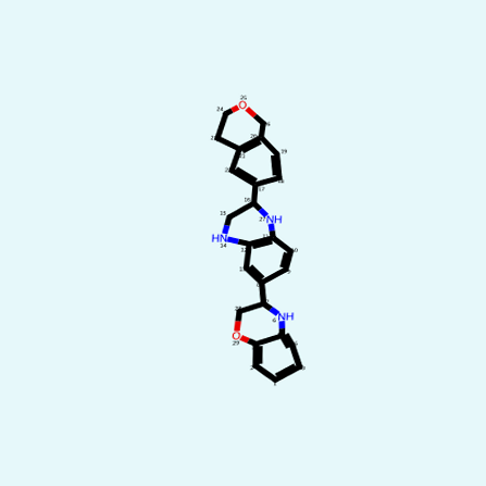 c1ccc2c(c1)NC(c1ccc3c(c1)NCC(c1ccc4c(c1)CCOC4)N3)CO2